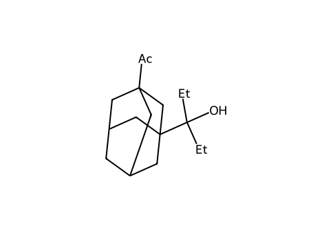 CCC(O)(CC)C12CC3CC(CC(C(C)=O)(C3)C1)C2